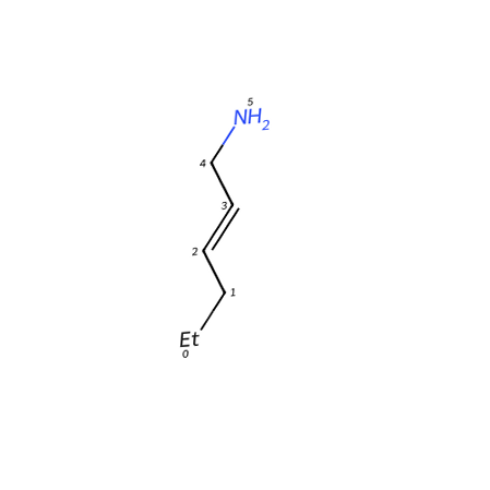 CCC/C=C/CN